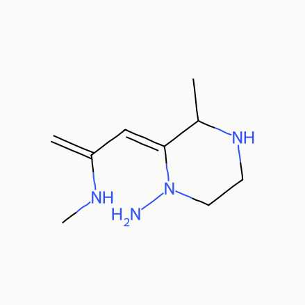 C=C(/C=C1/C(C)NCCN1N)NC